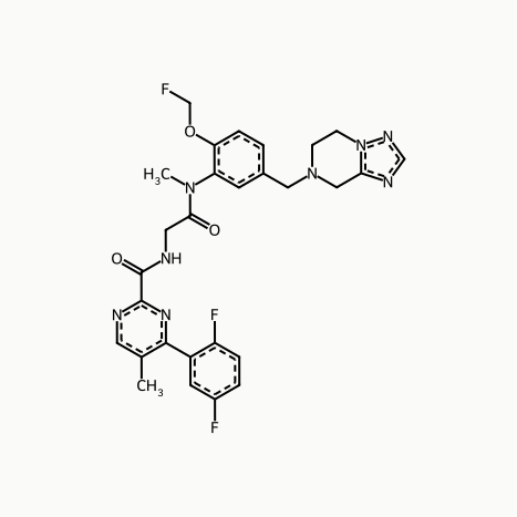 Cc1cnc(C(=O)NCC(=O)N(C)c2cc(CN3CCn4ncnc4C3)ccc2OCF)nc1-c1cc(F)ccc1F